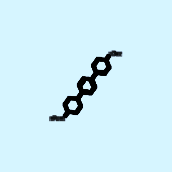 CCCCCCCCCCC1CC=C(c2ccc(C3CCC(CCCCC)CC3)cc2)CC1